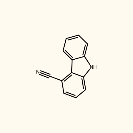 N#Cc1cccc2[nH]c3ccccc3c12